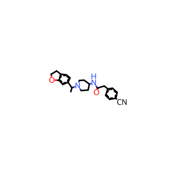 CC(c1ccc2c(c1)OCC2)N1CCC(NC(=O)Cc2ccc(C#N)cc2)CC1